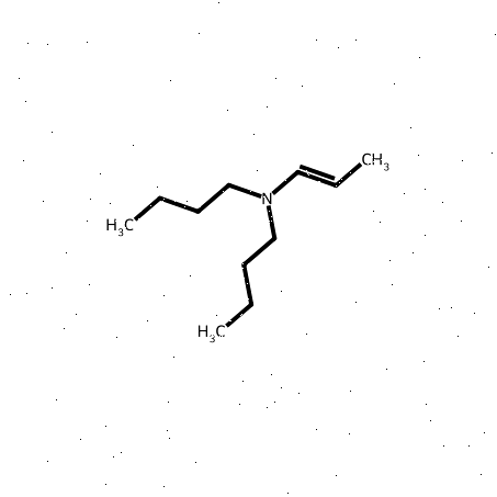 CC=CN(CCCC)CCCC